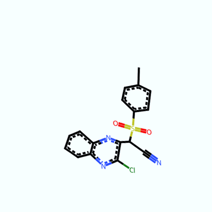 Cc1ccc(S(=O)(=O)C(C#N)c2nc3ccccc3nc2Cl)cc1